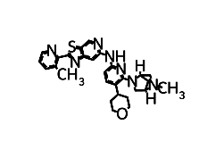 Cc1cccnc1-c1nc2cc(Nc3ccc(C4CCOCC4)c(N4C[C@@H]5C[C@H]4CN5C)n3)ncc2s1